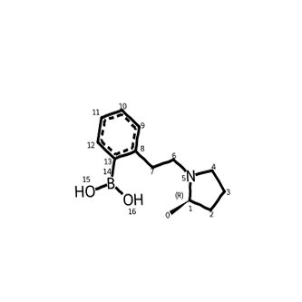 C[C@@H]1CCCN1CCc1ccccc1B(O)O